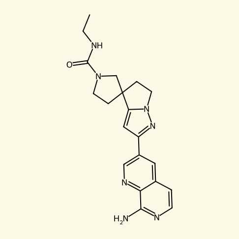 CCNC(=O)N1CCC2(CCn3nc(-c4cnc5c(N)nccc5c4)cc32)C1